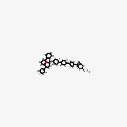 CC1CC2=C(c3ccc(-c4ccc(-c5ccc(N(c6ccc(-c7ccccc7)cc6)c6ccccc6-c6ccccc6)cc5)cc4)cc3)CC(C2)C1